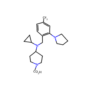 O=C(O)N1CCC(N(Cc2ccc(C(F)(F)F)cc2N2CCCC2)C2CC2)CC1